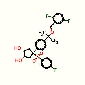 O=S(=O)(c1ccc(F)cc1)[C@]1(c2ccc(C(OCc3cc(F)ccc3F)(C(F)(F)F)C(F)(F)F)cc2)C[C@@H](O)[C@@H](O)C1